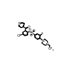 O=C(c1ccncc1)c1cc(Cl)ccc1NS(=O)(=O)c1ccc(N2CCN(CC(F)(F)F)CC2)c(F)c1